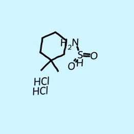 CC1(C)CCCCC1.Cl.Cl.N[SH](=O)=O